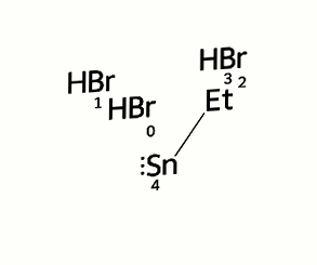 Br.Br.Br.C[CH2][Sn]